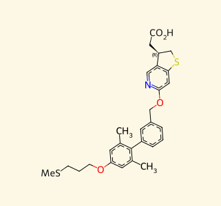 CSCCCOc1cc(C)c(-c2cccc(COc3cc4c(cn3)[C@@H](CC(=O)O)CS4)c2)c(C)c1